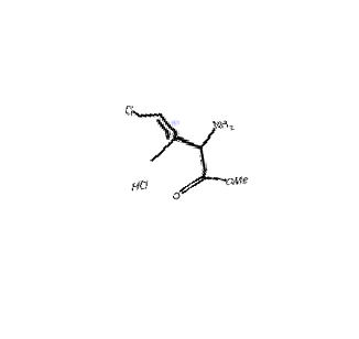 COC(=O)C(N)/C(C)=C/Cl.Cl